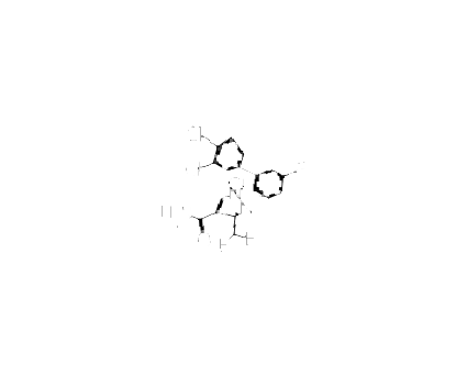 C[N+]1(c2ccc(F)cc2-c2ccc(Cl)c(Cl)c2)C=C(C(N)=O)C(C(F)F)=N1